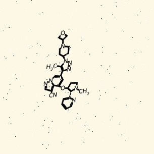 Cc1c(-c2cc(OC3CCN(C)[C@H]3c3ccccn3)c3c(C#N)cnn3c2)nnn1C1CCN(C2COC2)CC1